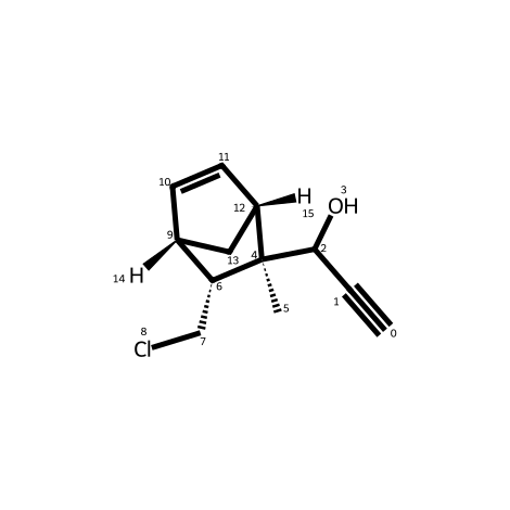 C#CC(O)[C@@]1(C)[C@H](CCl)[C@@H]2C=C[C@H]1C2